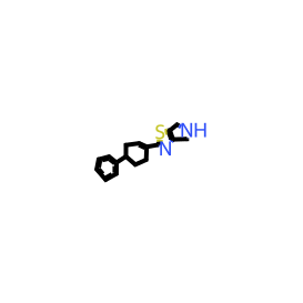 C1=C(c2nc3c(s2)CNC3)CCC(c2ccccc2)C1